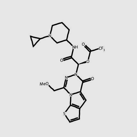 COCc1nn([C@H](OC(=O)C(F)(F)F)C(=O)NC2CCCN(C3CC3)C2)c(=O)c2cc3ccsc3n12